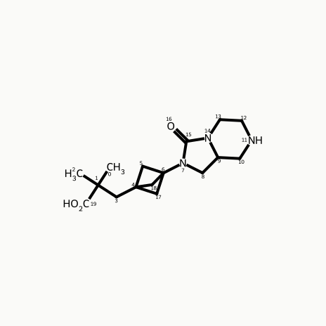 CC(C)(CC12CC(N3CC4CNCCN4C3=O)(C1)C2)C(=O)O